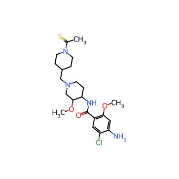 COc1cc(N)c(Cl)cc1C(=O)NC1CCN(CC2CCN(C(C)=S)CC2)CC1OC